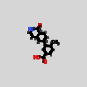 Cc1ccc(C(=O)O)cc1-c1ccc2c(=O)[nH]ccc2c1